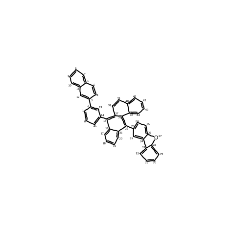 c1cc(-c2ccc3ccccc3c2)cc(-c2c3ccccc3c(-c3ccc4oc5ccccc5c4c3)c3c2ccc2ccccc23)c1